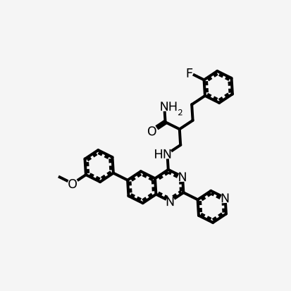 COc1cccc(-c2ccc3nc(-c4cccnc4)nc(NCC(CCc4ccccc4F)C(N)=O)c3c2)c1